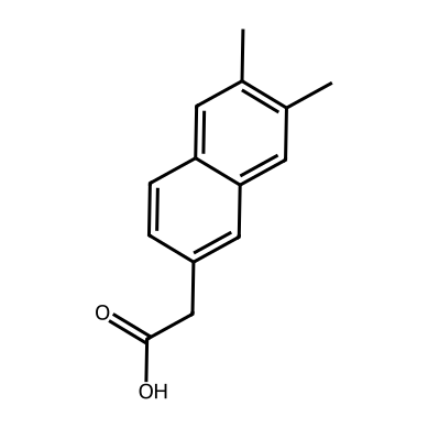 Cc1cc2ccc(CC(=O)O)cc2cc1C